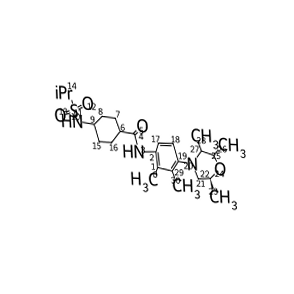 Cc1c(NC(=O)C2CCC(NS(=O)(=O)C(C)C)CC2)ccc(N2C[C@H](C)OC(C)C2C)c1C